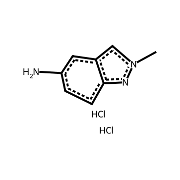 Cl.Cl.Cn1cc2cc(N)ccc2n1